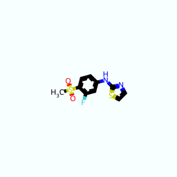 CS(=O)(=O)c1ccc(Nc2nccs2)cc1F